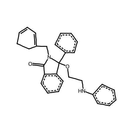 O=C1c2ccccc2C(OCCNc2ccccc2)(c2ccccc2)N1CC1=CC=CCC1